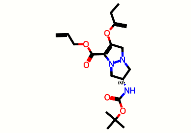 C=CCOC(=O)C1=C(OC(=C)CC)CN2C[C@H](NC(=O)OC(C)(C)C)CN12